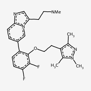 CNCCc1cnc2ccc(-c3ccc(F)c(F)c3OCCc3c(C)nn(C)c3C)cn12